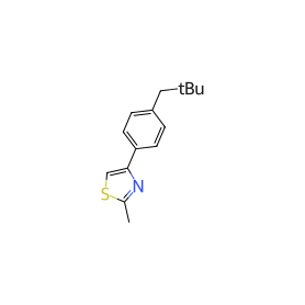 Cc1nc(-c2ccc(CC(C)(C)C)cc2)cs1